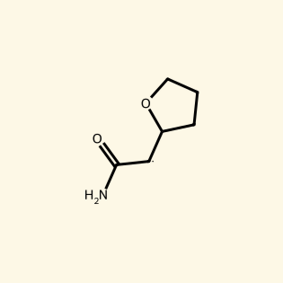 NC(=O)[CH]C1CCCO1